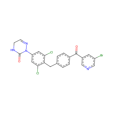 O=C(c1ccc(Cc2c(Cl)cc(N3N=CCNC3=O)cc2Cl)cc1)c1cncc(Br)c1